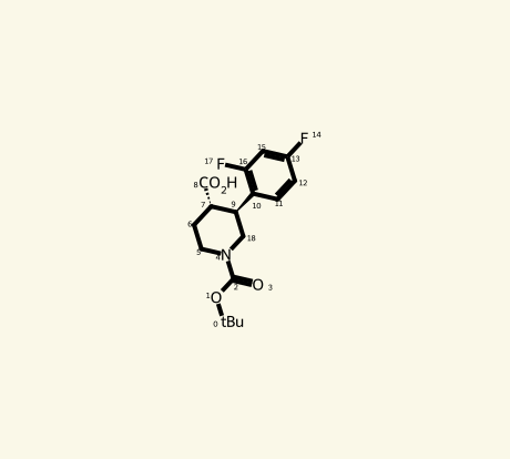 CC(C)(C)OC(=O)N1CC[C@H](C(=O)O)[C@@H](c2ccc(F)cc2F)C1